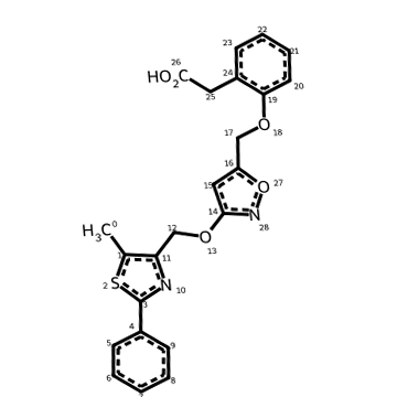 Cc1sc(-c2ccccc2)nc1COc1cc(COc2ccccc2CC(=O)O)on1